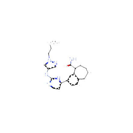 COCCn1cc(Nc2nccc(-c3ccc4c(c3)C(C(N)=O)CCC[CH]4)n2)cn1